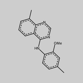 COc1cc(C)ccc1Nc1ncnc2c(C)cccc12